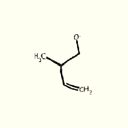 C=CC(C)C[O]